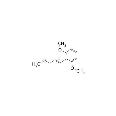 [CH2]OC/C=C/c1c(OC)cccc1OC